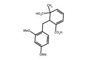 COc1ccc(CC2C(C(=O)O)=CC=CC2(C)C(=O)O)c(OC)c1